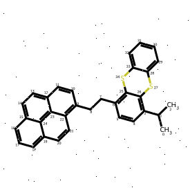 CC(C)c1ccc(CCc2ccc3ccc4cccc5ccc2c3c45)c2c1Sc1ccccc1S2